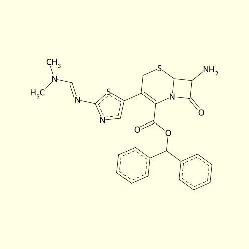 CN(C)C=Nc1ncc(C2=C(C(=O)OC(c3ccccc3)c3ccccc3)N3C(=O)C(N)C3SC2)s1